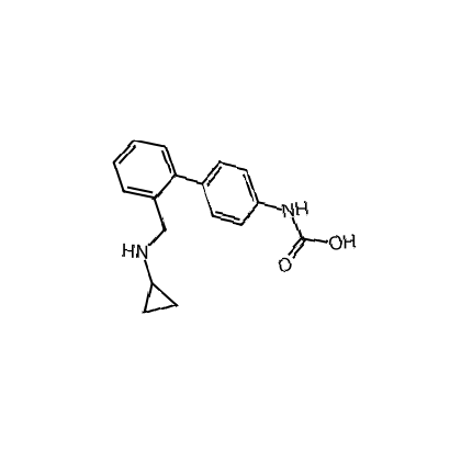 O=C(O)Nc1ccc(-c2ccccc2CNC2CC2)cc1